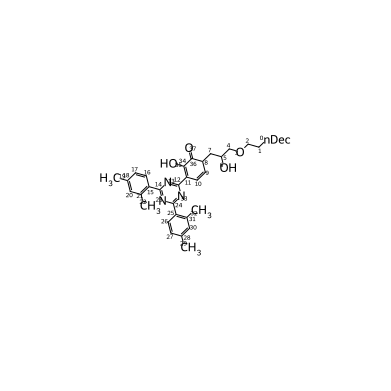 CCCCCCCCCCCCOCC(O)CC1C=CC(c2nc(-c3ccc(C)cc3C)nc(-c3ccc(C)cc3C)n2)=C(O)C1=O